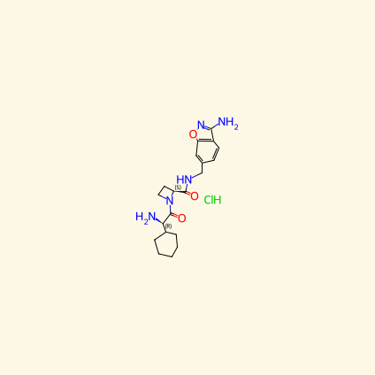 Cl.Nc1noc2cc(CNC(=O)[C@@H]3CCN3C(=O)[C@H](N)C3CCCCC3)ccc12